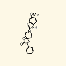 COc1ccc2[nH]c(N3CCC4(CC3)CN(C3=CCCC=C3)C(=O)O4)nc2c1